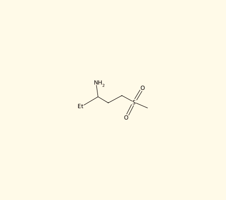 CCC(N)CCS(C)(=O)=O